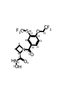 O=C(NO)[C@H]1CCN1C(=O)c1ccc(OCC(F)(F)F)c(SC(F)(F)F)c1